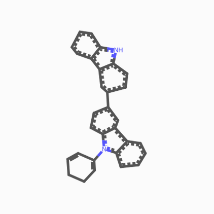 C1=CC(n2c3ccccc3c3cc(-c4ccc5[nH]c6ccccc6c5c4)ccc32)=CCC1